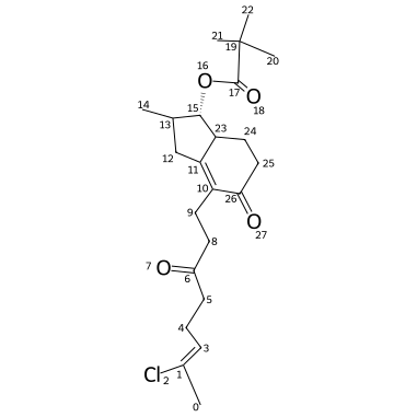 CC(Cl)=CCCC(=O)CCC1=C2CC(C)[C@H](OC(=O)C(C)(C)C)C2CCC1=O